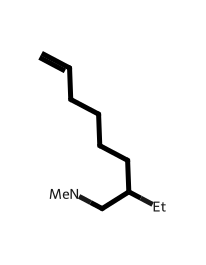 C=CCCCCC(CC)CNC